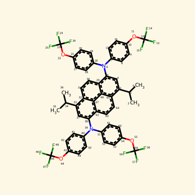 CC(C)c1cc(N(c2ccc(OC(F)(F)F)cc2)c2ccc(OC(F)(F)F)cc2)c2ccc3c(C(C)C)cc(N(c4ccc(OC(F)(F)F)cc4)c4ccc(OC(F)(F)F)cc4)c4ccc1c2c34